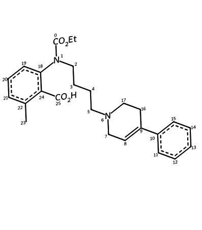 CCOC(=O)N(CCCCN1CC=C(c2ccccc2)CC1)c1cccc(C)c1C(=O)O